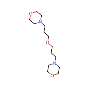 C(COCCCN1CCOCC1)CN1CCOCC1